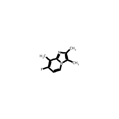 Cc1nc2c(C)c(F)ccn2c1C